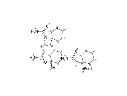 CC(C)C1(OC(N)=S)CCCCC1.CC(C)CC1(OC(N)=S)CCCCC1.CCCCCC1(OC(N)=S)CCCCC1